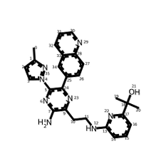 Cc1ccn(-c2nc(N)c(CCNc3cccc(C(C)(C)O)n3)nc2-c2ccc3ncccc3c2)n1